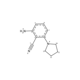 N#Cc1c(N)cccc1N1CCCC1